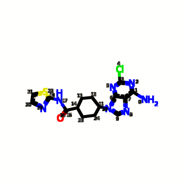 Nc1nc(Cl)nc2c1ncn2C1CCC(C(=O)Nc2nccs2)CC1